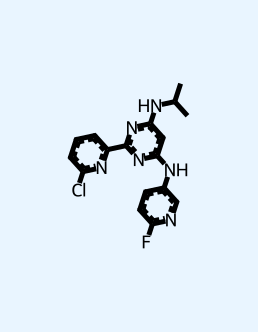 CC(C)Nc1cc(Nc2ccc(F)nc2)nc(-c2cccc(Cl)n2)n1